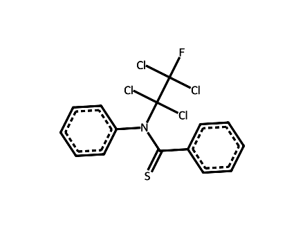 FC(Cl)(Cl)C(Cl)(Cl)N(C(=S)c1ccccc1)c1ccccc1